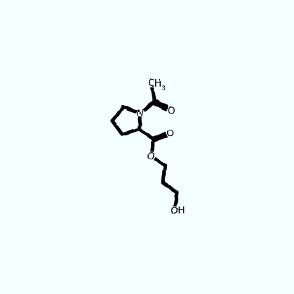 CC(=O)N1CCCC1C(=O)OCCCO